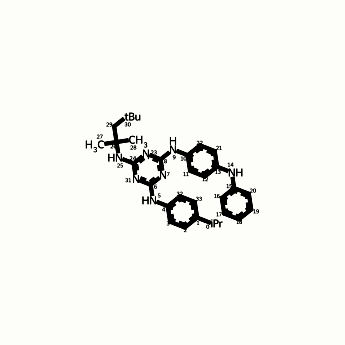 CC(C)c1ccc(Nc2nc(Nc3ccc(Nc4ccccc4)cc3)nc(NC(C)(C)CC(C)(C)C)n2)cc1